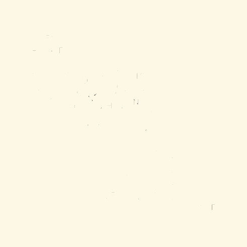 O=S(=O)(c1cccc(C(F)(F)F)c1)N(C1CC1)[C@H]1CC[C@H]2CN(CCCCCC(c3ccc(F)cc3)c3ccc(F)cc3)C[C@H]21